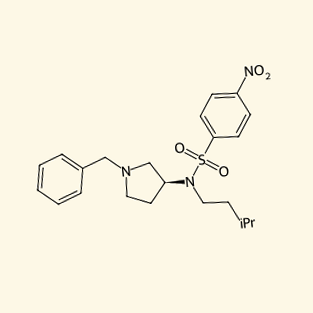 CC(C)CCN([C@H]1CCN(Cc2ccccc2)C1)S(=O)(=O)c1ccc([N+](=O)[O-])cc1